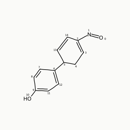 O=NC1=CCC(c2ccc(O)cc2)C=C1